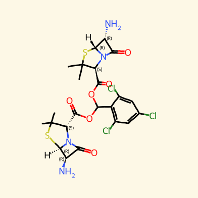 CC1(C)S[C@@H]2[C@H](N)C(=O)N2[C@H]1C(=O)OC(OC(=O)[C@@H]1N2C(=O)[C@@H](N)[C@H]2SC1(C)C)c1c(Cl)cc(Cl)cc1Cl